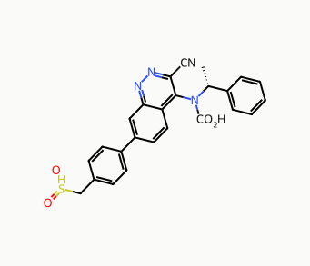 C[C@H](c1ccccc1)N(C(=O)O)c1c(C#N)nnc2cc(-c3ccc(C[SH](=O)=O)cc3)ccc12